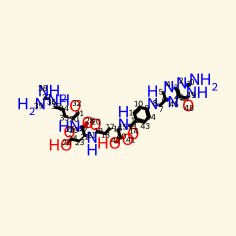 Nc1nc2ncc(CNc3ccc(C(=O)N[C@@H](CCC(=O)N[C@@H](CC(=O)O)C(=O)N[C@H](C=O)CCCNC(N)N)C(=O)O)cc3)nc2c(=O)[nH]1